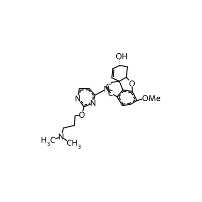 COc1ccc2c3c1OC1C[C@@H](O)C=CC31CCN(c1ccnc(OCCCN(C)C)n1)C2